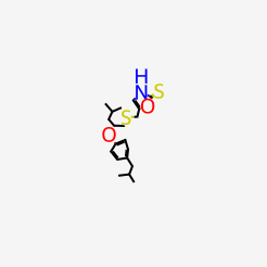 CC(C)Cc1ccc(OC(CSCc2c[nH]c(=S)o2)CC(C)C)cc1